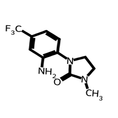 CN1CCN(c2ccc(C(F)(F)F)cc2N)C1=O